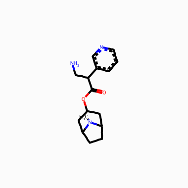 CN1C2CCC1CC(OC(=O)C(CN)c1cccnc1)C2